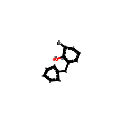 CCc1cccc(Cc2[c]cccc2)c1O